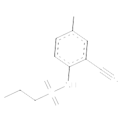 CCCS(=O)(=O)Nc1c[c]c(F)cc1C#N